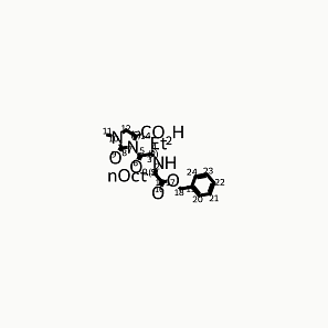 CCCCCCCC[C@H](N[C@H](CC)C(=O)N1C(=O)N(C)C[C@H]1C(=O)O)C(=O)OCc1ccccc1